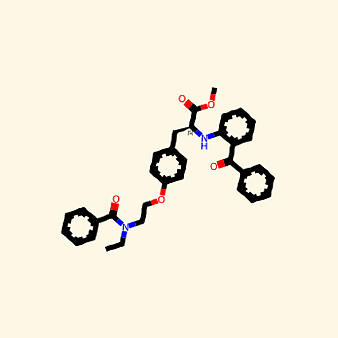 CCN(CCOc1ccc(C[C@H](Nc2ccccc2C(=O)c2ccccc2)C(=O)OC)cc1)C(=O)c1ccccc1